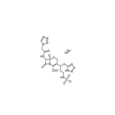 O=C(Cn1cnnn1)NC1C(=O)N2C(C(=O)[O-])=C(C(CCNS(=O)(=O)[O-])Sc3nnn[nH]3)CS[C@@H]12.[Na+].[Na+]